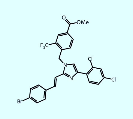 COC(=O)c1ccc(Cn2cc(-c3ccc(Cl)cc3Cl)nc2/C=C/c2ccc(Br)cc2)c(C(F)(F)F)c1